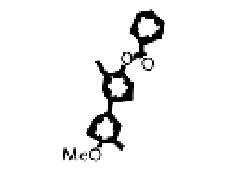 COc1ccc(-c2ccc(OC(=O)c3ccccc3)c(C)c2)cc1C